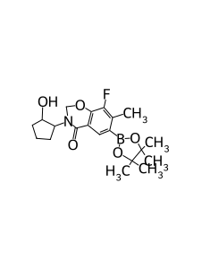 Cc1c(B2OC(C)(C)C(C)(C)O2)cc2c(c1F)OCN(C1CCCC1O)C2=O